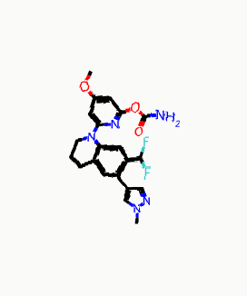 COc1cc(OC(N)=O)nc(N2CCCc3cc(-c4cnn(C)c4)c(C(F)F)cc32)c1